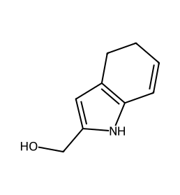 OCc1cc2c([nH]1)C=CCC2